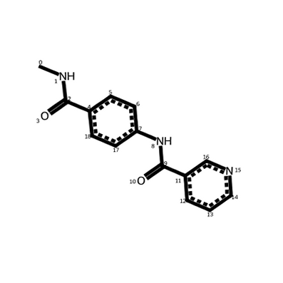 CNC(=O)c1ccc(NC(=O)c2cccnc2)cc1